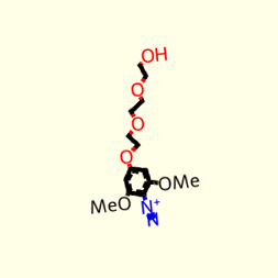 COc1cc(OCCOCCOCCO)cc(OC)c1[N+]#N